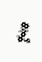 O=c1[nH]c2cc(-c3c(Cl)cccc3OCc3cscn3)ccc2c(=O)n1-c1cccc2ccccc12